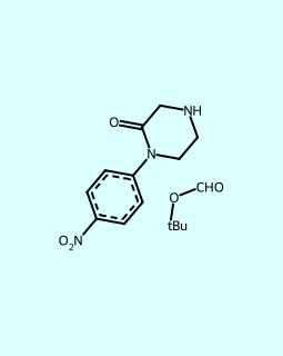 CC(C)(C)OC=O.O=C1CNCCN1c1ccc([N+](=O)[O-])cc1